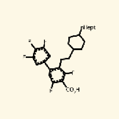 CCCCCCCC1CCC(CCc2c(-c3cc(F)c(F)c(F)c3)cc(F)c(C(=O)O)c2F)CC1